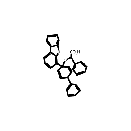 O=C(O)C(OC1(c2cccc3c2sc2ccccc23)C=CC(c2ccccc2)C=C1)c1ccccc1